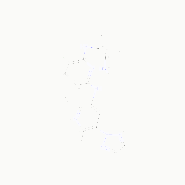 CC[C@@H](Nc1nc(Nc2cnc(C)c(-n3nccn3)c2)c(C#N)cc1F)[C@H](C)NC(=O)O